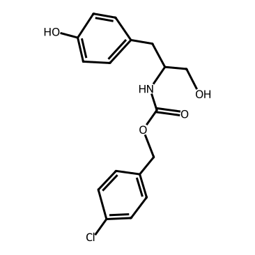 O=C(NC(CO)Cc1ccc(O)cc1)OCc1ccc(Cl)cc1